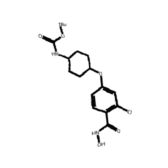 CC(C)(C)OC(=O)NC1CCC(Oc2ccc(C(=O)NO)c(Cl)c2)CC1